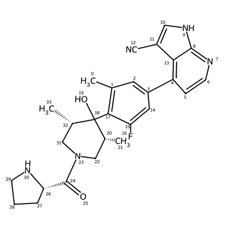 Cc1cc(-c2ccnc3[nH]cc(C#N)c23)cc(F)c1C1(O)[C@H](C)CN(C(=O)[C@@H]2CCCN2)C[C@@H]1C